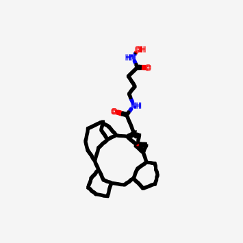 CCC1CC2CCCCCC1C1=C\C(C(=O)NCCCC(=O)NO)=C/C=C/C(=C\1)C1CCCCC(CC3CCCCC2C3)C1